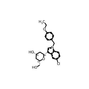 CCOc1ccc(Cn2cc([C@H]3C[C@@H](O)C[C@@H](CO)O3)c3cc(Cl)ccc32)cc1